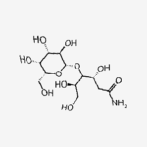 NC(=O)C[C@@H](O)C(O[C@@H]1O[C@H](CO)[C@H](O)[C@H](O)[C@H]1O)[C@H](O)CO